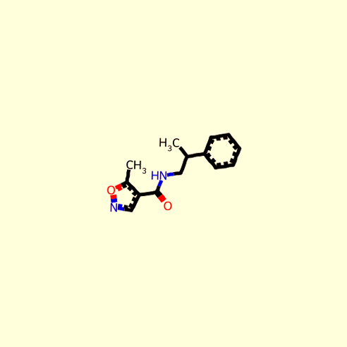 Cc1oncc1C(=O)NCC(C)c1ccccc1